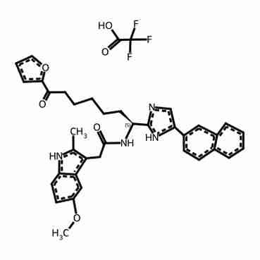 COc1ccc2[nH]c(C)c(CC(=O)N[C@@H](CCCCCC(=O)c3ccco3)c3ncc(-c4ccc5ccccc5c4)[nH]3)c2c1.O=C(O)C(F)(F)F